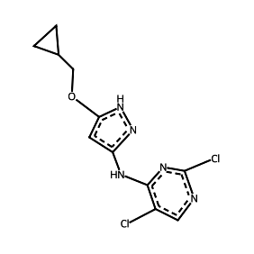 Clc1ncc(Cl)c(Nc2cc(OCC3CC3)[nH]n2)n1